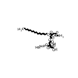 Br.CCCCCCCCCCCCCCCCOC(=O)C(O)(CC(=O)ON)CC(=O)OC(=O)CC(O)(CC(=O)O)C(=O)O.[NaH]